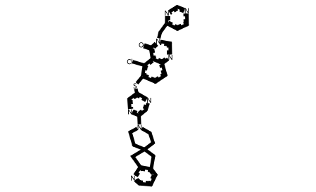 O=c1c2c(Cl)c(Sc3cnc(N4CCC5(CC4)Cc4cccnc4C5)cn3)ccc2ncn1Cc1ccncn1